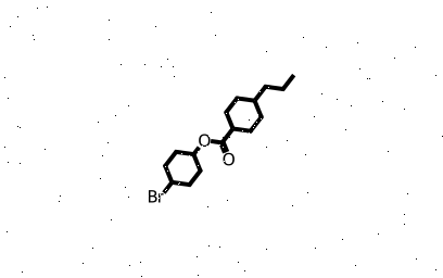 CCCC1CCC(C(=O)OC2CCC(Br)CC2)CC1